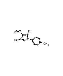 COc1n(O)cc(-c2ccc(C)cc2)[n+]1[O-]